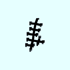 [CH2]C(F)(F)C(F)(F)C(F)(F)C(F)(C(F)(F)F)C(F)(F)F